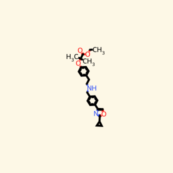 CCOC(=O)C(C)(C)Oc1ccc(CCNCc2ccc(-c3coc(C4CC4)n3)cc2)cc1